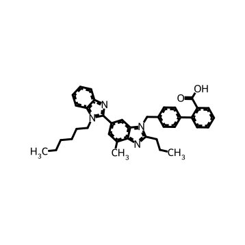 CCCCCCn1c(-c2cc(C)c3nc(CCC)n(Cc4ccc(-c5ccccc5C(=O)O)cc4)c3c2)nc2ccccc21